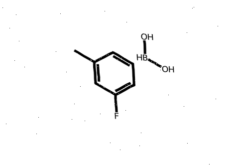 Cc1cccc(F)c1.OBO